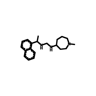 CC(NCNC1CCCN(C)CC1)c1cccc2ccccc12